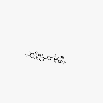 Cc1cc(S(=O)(=O)Nc2cccc(-c3ccc(C(=O)N[C@H](CO)C(=O)O)cc3)c2)c(C)cc1Cl